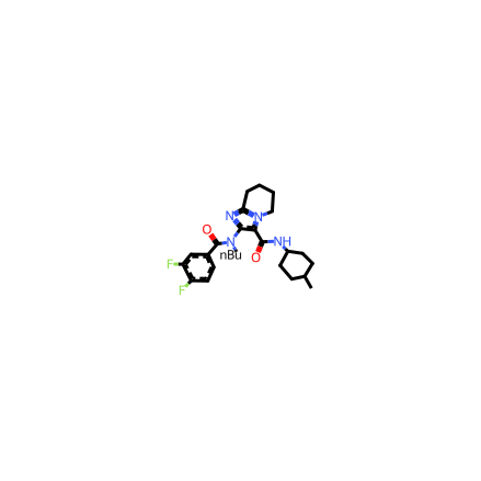 CCCCN(C(=O)c1ccc(F)c(F)c1)c1nc2n(c1C(=O)NC1CCC(C)CC1)CCCC2